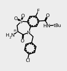 CC(C)(C)NC(=O)c1cc2c(cc1F)S(=O)(=O)C[C@H](N)C(=O)N2Cc1ccc(Cl)cc1